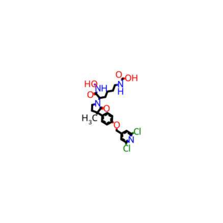 CC1(c2ccc(OCc3cc(Cl)nc(Cl)c3)cc2)CCN(C(CCCCNC(=O)O)C(=O)NO)C1=O